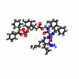 Cc1cc(C)c(C(C)(C)CC(=O)OCN2C(=O)C(NC[C@H](CCC(F)(F)F)[C@H](CC3CC3)C(N)=O)N=C(c3ccccc3)c3cccc(F)c32)c(OP(=O)(OCc2ccccc2)OCc2ccccc2)c1